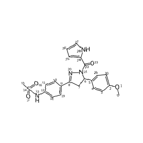 COc1ccc(C2CC(c3ccc(NS(C)(=O)=O)cc3)=NN2C(=O)c2ccc[nH]2)cc1